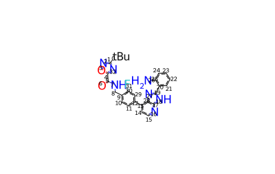 CC(C)(C)c1noc(C(=O)NCc2ccc(-c3ccnc4[nH]c(-c5ccccc5N)nc34)cc2F)n1